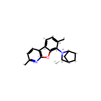 Cc1ccc2c(n1)oc1c(N3C4CCC(C4)[C@@H]3C)c(C)ccc12